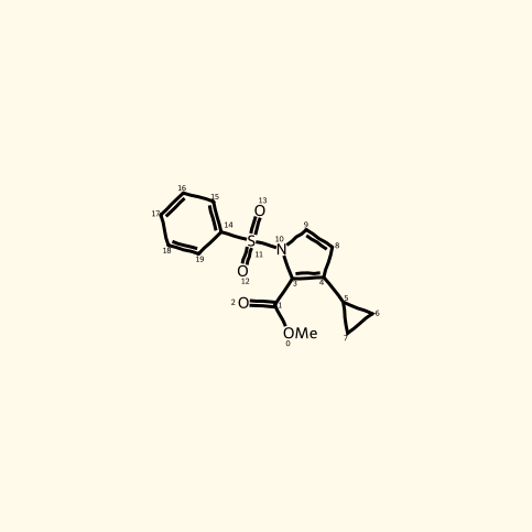 COC(=O)c1c(C2CC2)ccn1S(=O)(=O)c1ccccc1